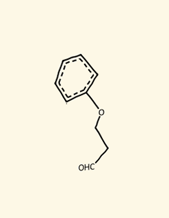 O=CCCOc1[c]cccc1